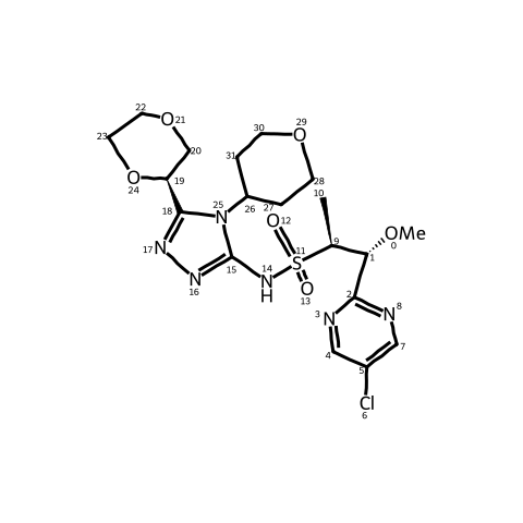 CO[C@H](c1ncc(Cl)cn1)[C@H](C)S(=O)(=O)Nc1nnc([C@@H]2COCCO2)n1C1CCOCC1